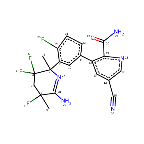 CC1(F)CC(F)(F)C(C)(c2cc(-c3cc(C#N)cnc3C(N)=O)ccc2F)N=C1N